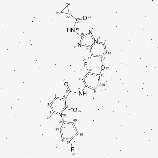 Cc1ccc(C(=O)Nc2ccc(Oc3ccn4nc(NC(=O)C5CC5)nc4c3)c(F)c2)c(=O)n1-c1ccc(F)cc1